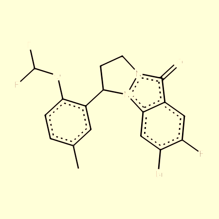 Cc1ccc(OC(F)F)c(C2CCn3c(=O)c4cc(F)c(Br)cc4n32)c1